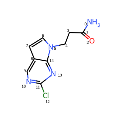 NC(=O)CCn1ccc2cnc(Cl)nc21